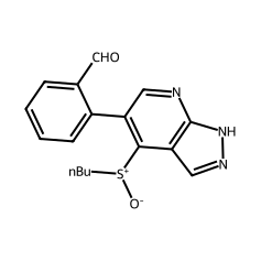 CCCC[S+]([O-])c1c(-c2ccccc2C=O)cnc2[nH]ncc12